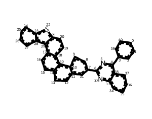 c1ccc(-c2nc(-c3ccc4c(ccc5ccc6c(ccc7sc8ccccc8c76)c54)c3)nc3ccccc23)cc1